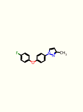 Cc1ccn(-c2ccc(Oc3ccc(F)cc3)cc2)n1